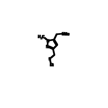 CCSCc1cc(CSC)n(C)n1